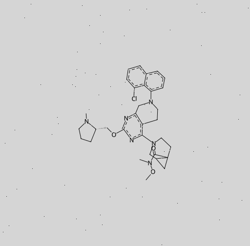 CON(C)C(=O)C12CCN(c3nc(OC[C@@H]4CCCN4C)nc4c3CCN(c3cccc5cccc(Cl)c35)C4)CC1C2